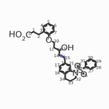 O=C(O)CCc1ccccc1OCCC(O)/C=C/c1ccc2c(c1)N(S(=O)(=O)c1ccccc1)CCC2